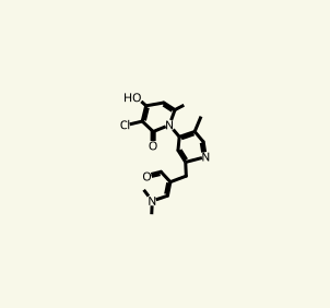 Cc1cnc(C/C(C=O)=C/N(C)C)cc1-n1c(C)cc(O)c(Cl)c1=O